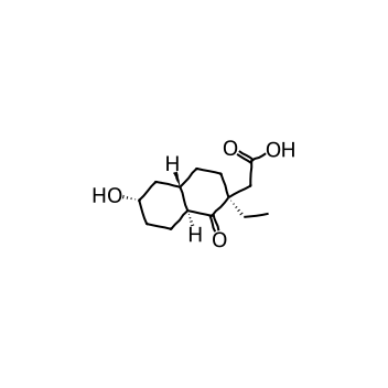 CC[C@@]1(CC(=O)O)CC[C@H]2C[C@@H](O)CC[C@@H]2C1=O